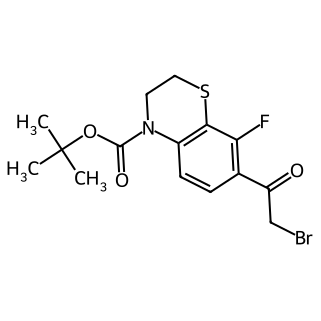 CC(C)(C)OC(=O)N1CCSc2c1ccc(C(=O)CBr)c2F